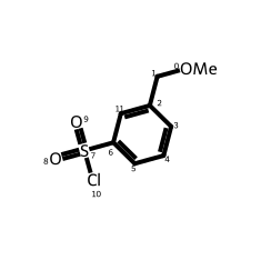 COCc1cccc(S(=O)(=O)Cl)c1